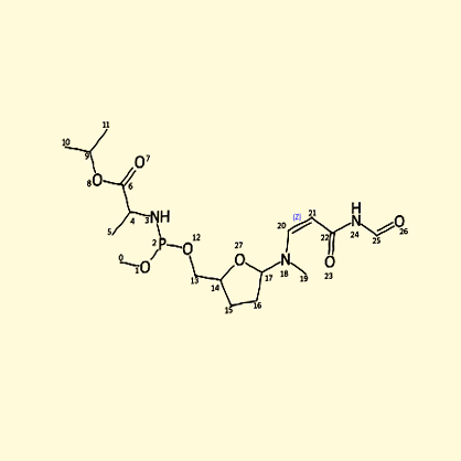 COP(NC(C)C(=O)OC(C)C)OCC1CCC(N(C)/C=C\C(=O)NC=O)O1